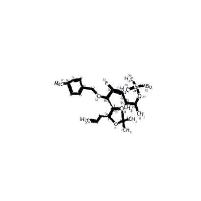 C=CC[C@@H]1OC(C)(C)O[C@@H]1C(OCc1ccc(OC)cc1)/C(F)=C\[C@@H](C)C(C)O[Si](C)(C)C(C)(C)C